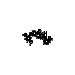 COc1ccc(OC)c(CN2CCN(C(=O)c3sc(Nc4ccccc4OC)nc3C)CC2)c1